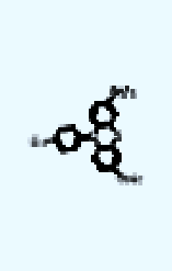 COc1ccc2c(c1)Sc1cc(OC)ccc1N2c1ccc(C(C)(C)C)cc1